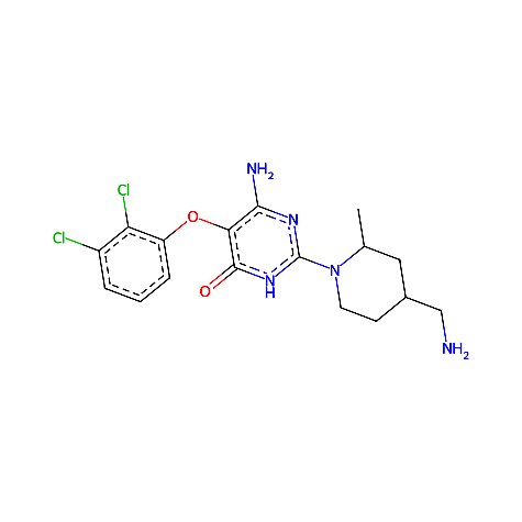 CC1CC(CN)CCN1c1nc(N)c(Oc2cccc(Cl)c2Cl)c(=O)[nH]1